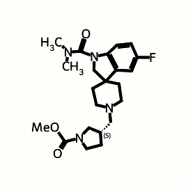 COC(=O)N1CC[C@@H](CN2CCC3(CC2)CN(C(=O)N(C)C)c2ccc(F)cc23)C1